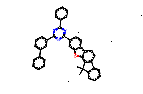 CC1(C)c2ccccc2-c2ccc3c(oc4cc(-c5nc(-c6ccccc6)nc(-c6cccc(-c7ccccc7)c6)n5)ccc43)c21